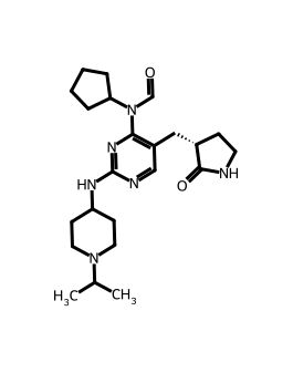 CC(C)N1CCC(Nc2ncc(C[C@@H]3CCNC3=O)c(N(C=O)C3CCCC3)n2)CC1